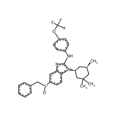 C[C@@H]1C[C@H](n2c(Nc3ccc(OC(F)(F)F)cc3)nc3cc([S+]([O-])Cc4ccccc4)ccc32)CC(C)(C)C1